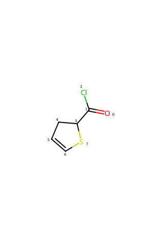 O=C(Cl)C1CC=CS1